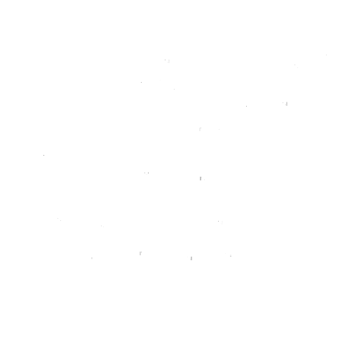 CCC(C)C(NC(=O)CNC(=O)C(CCSC)NC(=O)C(CCCNC(=N)N)NC(=O)C(Cc1ccccc1)NC(=O)C1CCCN1C(=O)C(C)N)C(=O)NC(CSCC(=O)O)C(=O)NC(C(=O)NC(C(=O)NC(CC(N)=O)C(=O)O)C(C)O)C(C)O